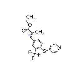 CCOC(=O)/C(C)=C/c1ccc(Sc2ccncc2)c(C(F)(F)F)c1